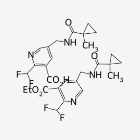 CC1(C(=O)NCc2cnc(C(F)F)c(C(=O)O)c2)CC1.CCOC(=O)c1cc(CNC(=O)C2(C)CC2)cnc1C(F)F